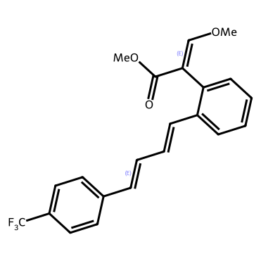 CO/C=C(/C(=O)OC)c1ccccc1C=C/C=C/c1ccc(C(F)(F)F)cc1